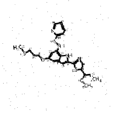 COC(OC)C1CN=C(c2cc3cc(OCCCSC)cc(NSc4ccccn4)c3[nH]2)S1